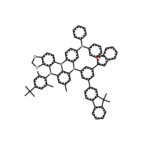 Cc1cc2c3c(c1)N(c1c(C)cc(C(C)(C)C)cc1C)c1c(ccc4c1OCO4)B3c1ccc(N(c3ccccc3)c3ccccc3)cc1N2c1cc(-c2ccc3c(c2)C(C)(C)c2ccccc2-3)cc(-c2cc3ccccc3o2)c1